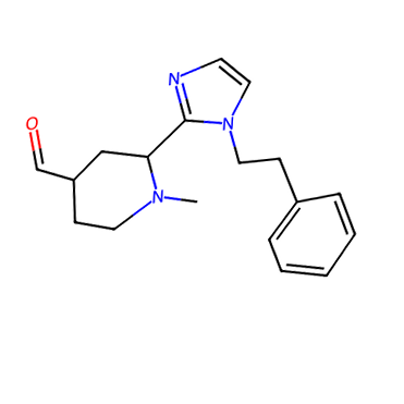 CN1CCC(C=O)CC1c1nccn1CCc1ccccc1